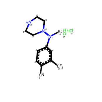 CCN(c1ccc(C#N)c(C(F)(F)F)c1)N1CCNCC1.Cl.Cl